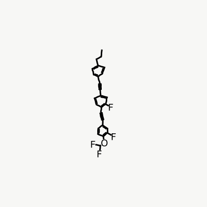 CCCc1ccc(C#Cc2ccc(C#Cc3ccc(OC(F)F)c(F)c3)c(F)c2)cc1